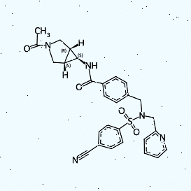 CC(=O)N1C[C@@H]2[C@H](C1)[C@H]2NC(=O)c1ccc(CN(Cc2ccccn2)S(=O)(=O)c2ccc(C#N)cc2)cc1